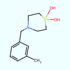 Cc1[c]ccc(CN2CCS(O)(O)CC2)c1